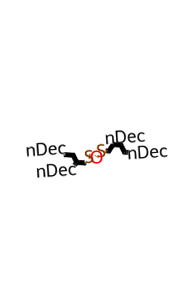 CCCCCCCCCCCCC(CCCCCCCCCC)CSOSCC(CCCCCCCCCC)CCCCCCCCCCCC